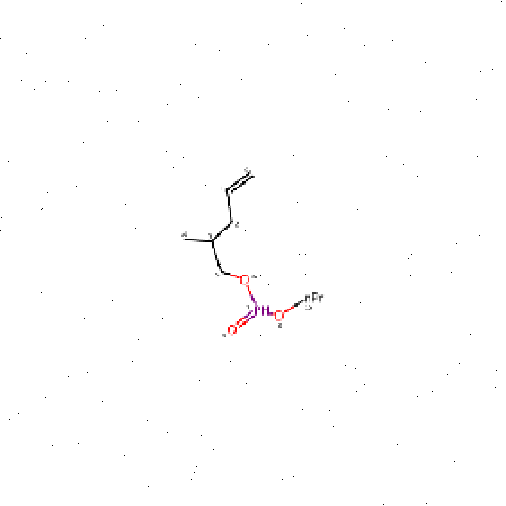 C=CCC(C)CO[PH](=O)OCCC